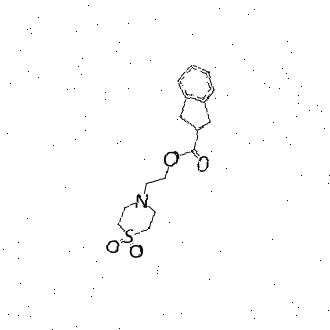 O=C(OCCN1CCS(=O)(=O)CC1)C1Cc2ccccc2C1